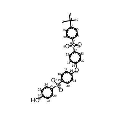 CC(C)(C)c1ccc(S(=O)(=O)c2ccc(Oc3ccc(S(=O)(=O)c4ccc(O)cc4)cc3)cc2)cc1